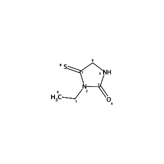 CCN1C(=O)NCC1=S